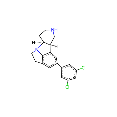 Clc1cc(Cl)cc(-c2cc3c4c(c2)[C@@H]2CNCC[C@@H]2N4CC3)c1